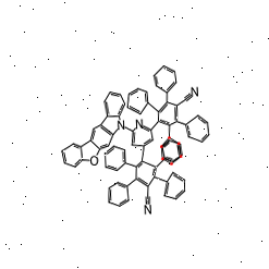 N#Cc1c(-c2ccccc2)c(-c2ccccc2)c(-c2cc(-c3c(-c4ccccc4)c(-c4ccccc4)c(C#N)c(-c4ccccc4)c3-c3ccccc3)nc(-n3c4ccccc4c4cc5c(cc43)oc3ccccc35)c2)c(-c2ccccc2)c1-c1ccccc1